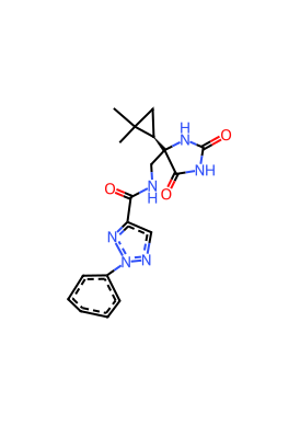 CC1(C)C[C@H]1C1(CNC(=O)c2cnn(-c3ccccc3)n2)NC(=O)NC1=O